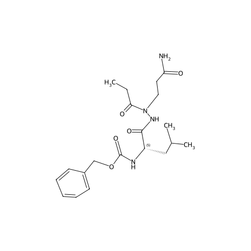 CCC(=O)N(CCC(N)=O)NC(=O)[C@H](CC(C)C)NC(=O)OCc1ccccc1